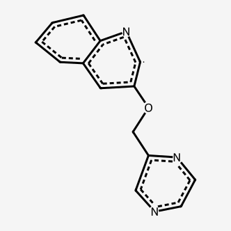 [c]1nc2ccccc2cc1OCc1cnccn1